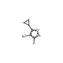 CC(=O)c1c(C)noc1C1CC1